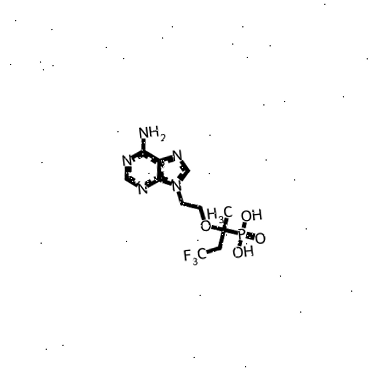 CC(CC(F)(F)F)(OCCn1cnc2c(N)ncnc21)P(=O)(O)O